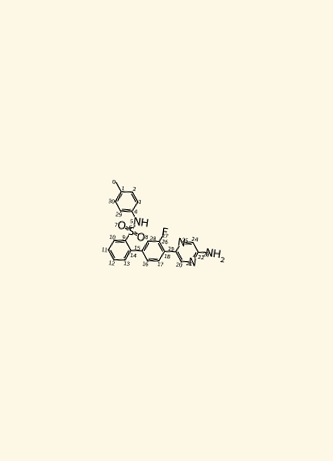 Cc1ccc(NS(=O)(=O)c2ccccc2-c2ccc(-c3cnc(N)cn3)c(F)c2)cc1